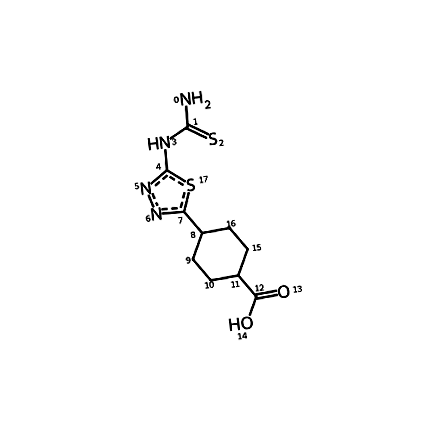 NC(=S)Nc1nnc(C2CCC(C(=O)O)CC2)s1